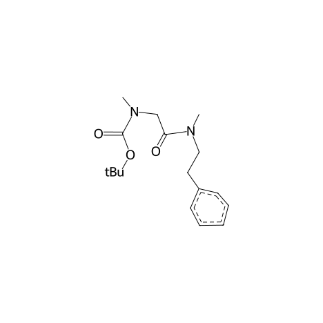 CN(CCc1ccccc1)C(=O)CN(C)C(=O)OC(C)(C)C